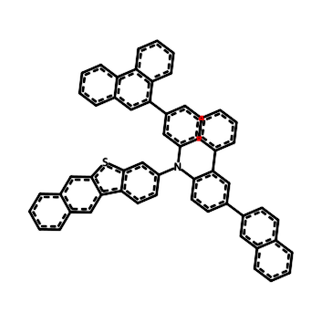 c1ccc(-c2cc(-c3ccc4ccccc4c3)ccc2N(c2cccc(-c3cc4ccccc4c4ccccc34)c2)c2ccc3c(c2)sc2cc4ccccc4cc23)cc1